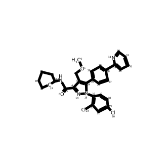 COCc1c(C(=O)NC2CCCCC2)nn(-c2ccc(Cl)cc2Cl)c1-c1ccc(-c2ccccn2)cc1